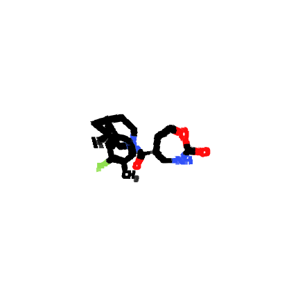 Cc1ccc([C@@]23CCN(C(=O)[C@@H]4CCOC(=O)NC4)C[C@@H]2C3)cc1F